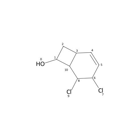 OC1CC2C=CC(Cl)C(Cl)C12